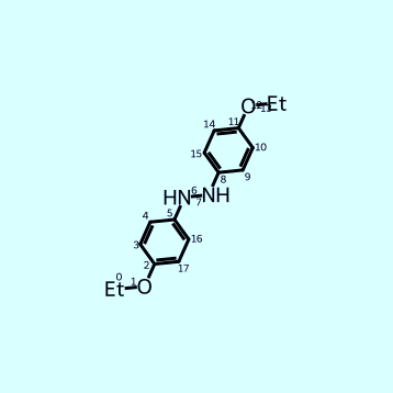 CCOc1ccc(NNc2ccc(OCC)cc2)cc1